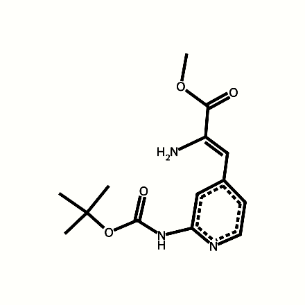 COC(=O)/C(N)=C/c1ccnc(NC(=O)OC(C)(C)C)c1